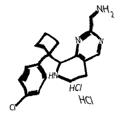 Cl.Cl.NCc1ncc2c(n1)C(C1(c3ccc(Cl)cc3)CCC1)NCC2